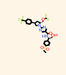 CCS(=O)(=O)c1ccc([C@H](CO)NC(=O)c2cnc(N3CC(c4ccc(C(F)(F)F)cc4)C[C@@H]3COC(F)F)nc2)cc1